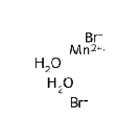 O.O.[Br-].[Br-].[Mn+2]